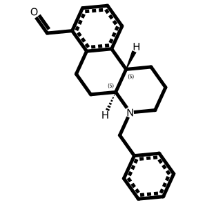 O=Cc1cccc2c1CC[C@H]1[C@H]2CCCN1Cc1ccccc1